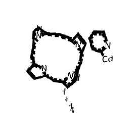 C1=Cc2cc3ccc(cc4nc(cc5ccc(cc1n2)[nH]5)C=C4)[nH]3.[Cd][c]1ccccn1.[I].[I].[I].[I]